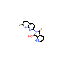 Cc1ccc2ccc(-n3c(O)c4[nH]cccc-4c3=O)nc2n1